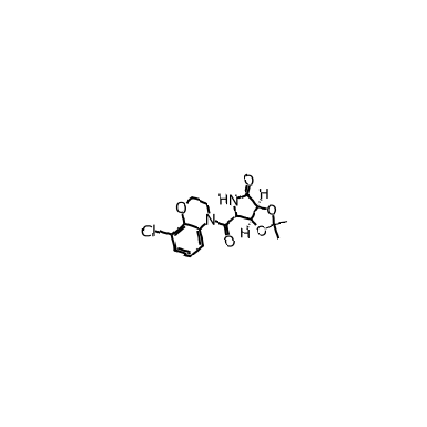 CC1(C)O[C@H]2[C@@H](C(=O)N3CCOc4c(Cl)cccc43)NC(=O)[C@H]2O1